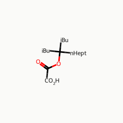 CCCCCCCC(OC(=O)C(=O)O)(C(C)CC)C(C)CC